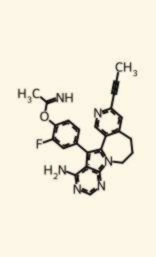 CC#Cc1cc2c(cn1)-c1c(-c3ccc(OC(C)=N)c(F)c3)c3c(N)ncnc3n1CCC2